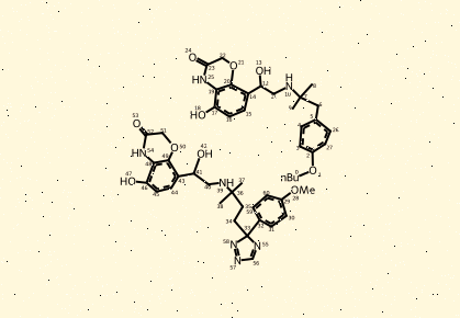 CCCCOc1ccc(CC(C)(C)NCC(O)c2ccc(O)c3c2OCC(=O)N3)cc1.COc1ccc(C2(CCC(C)(C)NCC(O)c3ccc(O)c4c3OCC(=O)N4)N=CN=N2)cc1